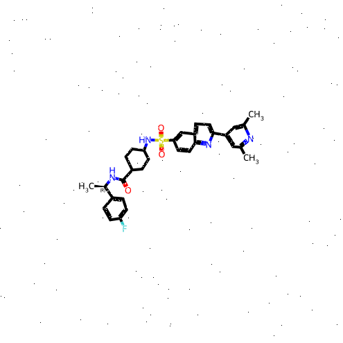 Cc1cc(-c2ccc3cc(S(=O)(=O)NC4CCC(C(=O)N[C@H](C)c5ccc(F)cc5)CC4)ccc3n2)cc(C)n1